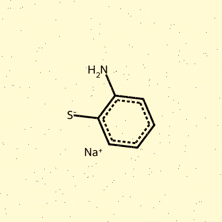 Nc1ccccc1[S-].[Na+]